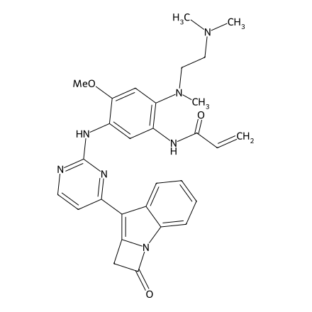 C=CC(=O)Nc1cc(Nc2nccc(-c3c4n(c5ccccc35)C(=O)C4)n2)c(OC)cc1N(C)CCN(C)C